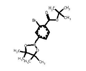 CC(C)(C)OC(=O)c1ccc(B2OC(C)(C)C(C)(C)O2)cc1Br